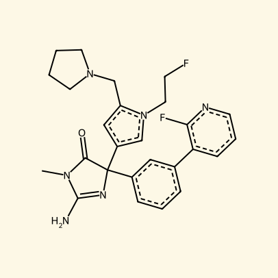 CN1C(=O)C(c2cccc(-c3cccnc3F)c2)(c2cc(CN3CCCC3)n(CCF)c2)N=C1N